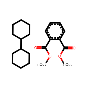 C1CCC(C2CCCCC2)CC1.CCCCCCCCOC(=O)c1ccccc1C(=O)OCCCCCCCC